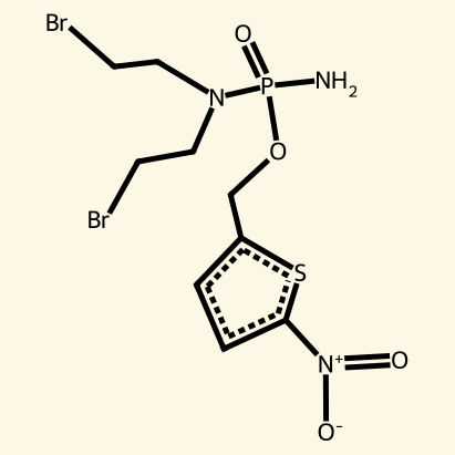 NP(=O)(OCc1ccc([N+](=O)[O-])s1)N(CCBr)CCBr